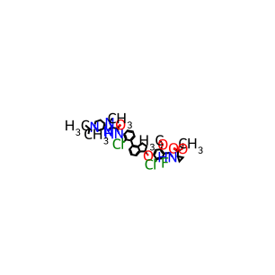 COC(=O)C1(NCc2c(OC)cc(OC3CCc4c(-c5cccc(NC(=O)c6nc7c(n6C)CCN(C(C)C)C7)c5Cl)cccc43)c(Cl)c2F)CC1